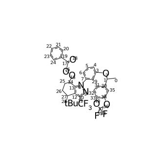 CC(Oc1cccc(-n2nc(C(F)(F)F)c3c2C(OOC(=O)c2ccccc2)CCC3C(C)(C)C)c1)c1ccc2c(c1)OC(F)(F)O2